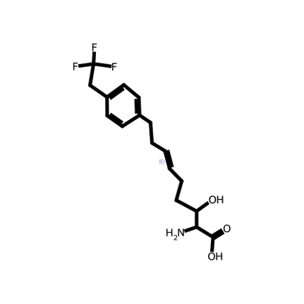 NC(C(=O)O)C(O)CC/C=C/CCc1ccc(CC(F)(F)F)cc1